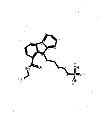 O=C(NCC(F)(F)F)c1cccc2c1C(CCCCCP(=O)(O)O)c1ccccc1-2